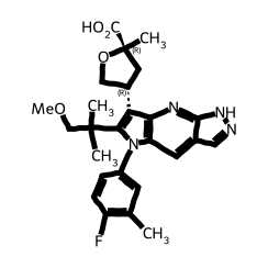 COCC(C)(C)c1c([C@@H]2CO[C@@](C)(C(=O)O)C2)c2nc3[nH]ncc3cc2n1-c1ccc(F)c(C)c1